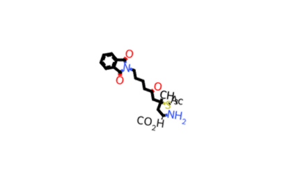 CC(=O)SC(C)(CC(=O)CCCCN1C(=O)c2ccccc2C1=O)C[C@H](N)C(=O)O